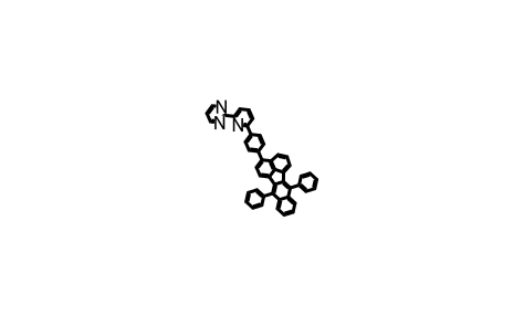 c1ccc(-c2c3c(c(-c4ccccc4)c4ccccc24)-c2ccc(-c4ccc(-c5cccc(-c6ncccn6)n5)cc4)c4cccc-3c24)cc1